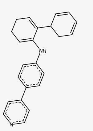 C1=CCC(C2=CCCC=C2Nc2ccc(-c3ccncc3)cc2)C=C1